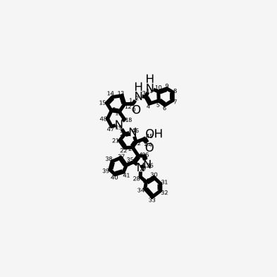 O=C(Nc1cc2ccccc2[nH]1)c1cccc2c1CN(c1ccc(-c3cnn(Cc4ccccc4)c3-c3ccccc3)c(C(=O)O)n1)CC2